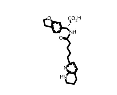 O=C(O)C[C@H](NC(=O)CCCCc1ccc2c(n1)NCCC2)c1ccc2c(c1)OCC2